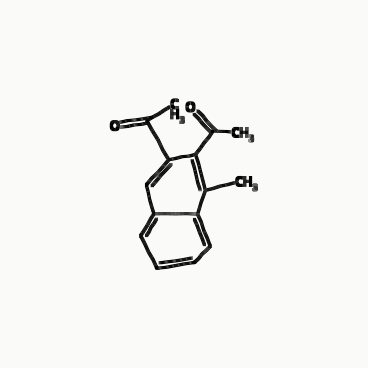 CC(=O)c1cc2ccccc2c(C)c1C(C)=O